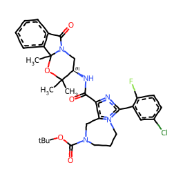 CC(C)(C)OC(=O)N1CCCn2c(-c3cc(Cl)ccc3F)nc(C(=O)N[C@@H]3CN4C(=O)c5ccccc5C4(C)OC3(C)C)c2C1